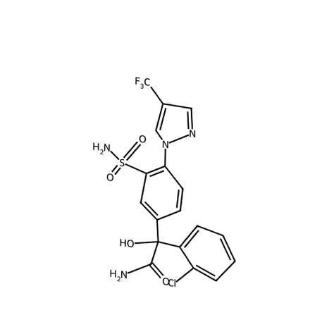 NC(=O)C(O)(c1ccc(-n2cc(C(F)(F)F)cn2)c(S(N)(=O)=O)c1)c1ccccc1Cl